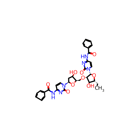 CC[C@H]1O[C@@H](n2ccc(NC(=O)c3ccccc3)nc2=O)[C@@H](OC[C@H]2O[C@@H](n3ccc(NC(=O)c4ccccc4)nc3=O)CC2O)C1O